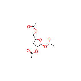 CC(=O)OC[C@@H]1C[C@H](OC(C)=O)[C@H](OC(C)=O)O1